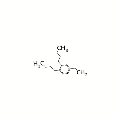 [CH2]Cc1ccc(CCCC)c(CCCC)c1